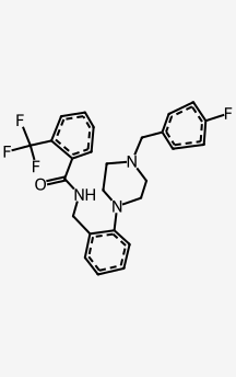 O=C(NCc1ccccc1N1CCN(Cc2ccc(F)cc2)CC1)c1ccccc1C(F)(F)F